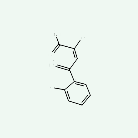 CCC/C(=C/C(=N)c1ccccc1C)C(=N)N